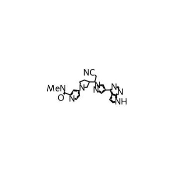 CNC(=O)c1cc(N2CCC(C(CC#N)n3cc(-c4ncnc5[nH]ccc45)cn3)C2)ccn1